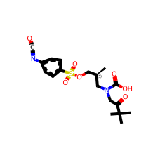 C[C@H](COS(=O)(=O)c1ccc(N=C=O)cc1)CN(CC(=O)C(C)(C)C)C(=O)O